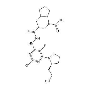 O=C(O)NC[C@@H](CC1CCCC1)C(=O)NNc1nc(Cl)nc(N2CCC[C@H]2CCO)c1F